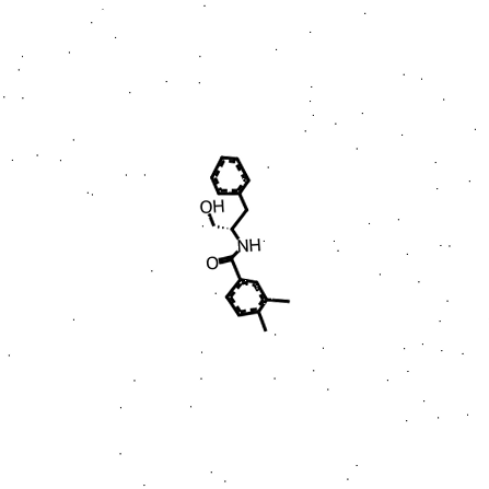 Cc1ccc(C(=O)N[C@H](CO)Cc2ccccc2)cc1C